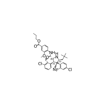 CCCOC(=O)c1ccc(NC(=O)[C@@H]2N[C@@H](CC(C)(C)C)[C@](C#N)(c3ccc(Cl)cc3F)[C@H]2c2cccc(Cl)c2F)c(OC)c1